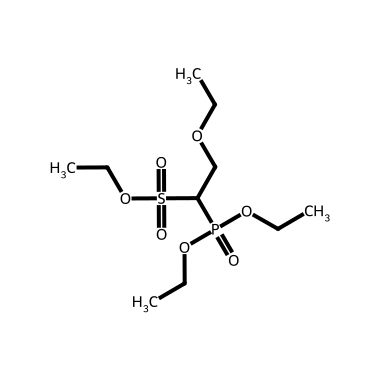 CCOCC(P(=O)(OCC)OCC)S(=O)(=O)OCC